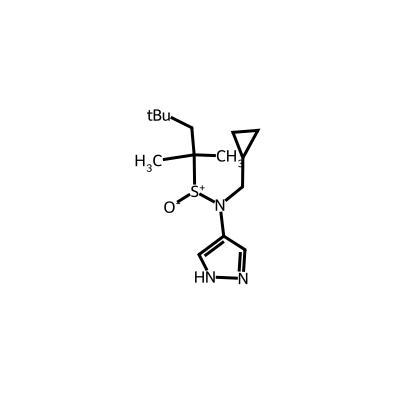 CC(C)(C)CC(C)(C)[S+]([O-])N(CC1CC1)c1cn[nH]c1